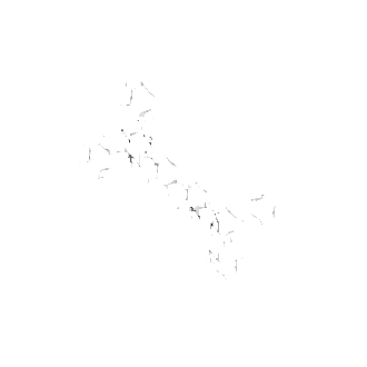 C1=CNC(c2cc(-c3ccccc3)cc(-c3ccc(-c4ccc(-c5nc(-c6ccccc6)nc(-c6ccccc6)n5)cc4)cn3)n2)C=C1